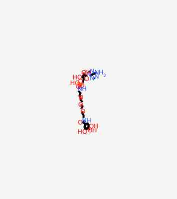 Nc1ncnc2c1ncn2-c1oc(COP(=O)(O)ONCCCOCCOCCOCCCNC(=O)c2cc(O)c(O)c(O)c2)c(O)c1O